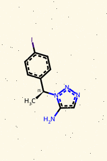 C[C@@H](c1ccc(I)cc1)n1nncc1N